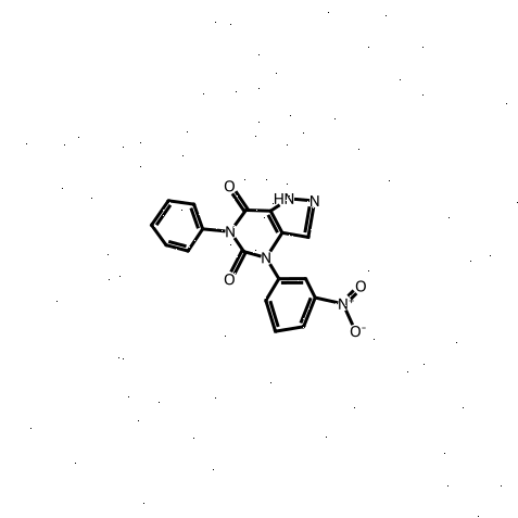 O=c1c2[nH]ncc2n(-c2cccc([N+](=O)[O-])c2)c(=O)n1-c1ccccc1